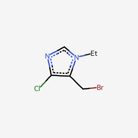 CCn1cnc(Cl)c1CBr